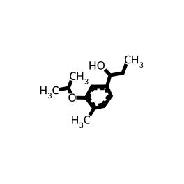 CCC(O)c1ccc(C)c(OC(C)C)c1